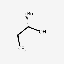 CC(C)(C)[C@H](O)CC(F)(F)F